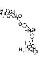 CC(C)(C)OC(=O)NCc1ccc(C(=O)NCc2ccc(OCCC(=O)N3C=C4OC(C)(C)O[C@@H]4C3)cc2)cc1